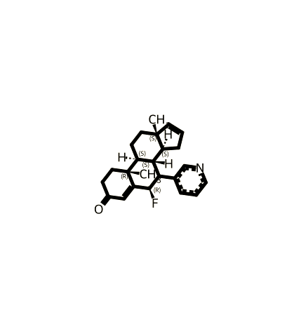 C[C@@]12C=CC[C@H]1[C@@H]1C(c3cccnc3)[C@@H](F)C3=CC(=O)CC[C@]3(C)[C@H]1CC2